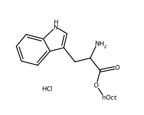 CCCCCCCCOC(=O)C(N)Cc1c[nH]c2ccccc12.Cl